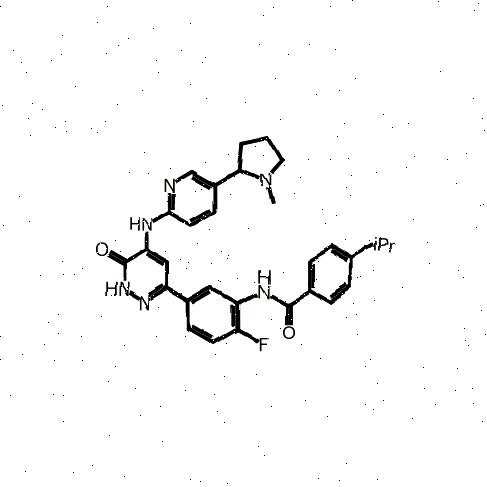 CC(C)c1ccc(C(=O)Nc2cc(-c3cc(Nc4ccc(C5CCCN5C)cn4)c(=O)[nH]n3)ccc2F)cc1